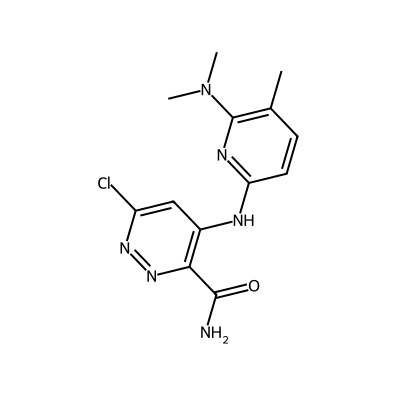 Cc1ccc(Nc2cc(Cl)nnc2C(N)=O)nc1N(C)C